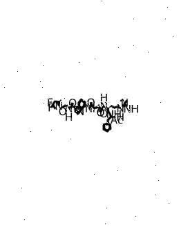 CC(=O)[C@H](Cc1ccccc1)NC(=O)[C@H](CCCNC(=N)N(C)C)NC(=O)CCC(=O)Nc1cccc2c(C(=O)NCC(=O)N3CC(F)(F)C[C@H]3C)ccnc12